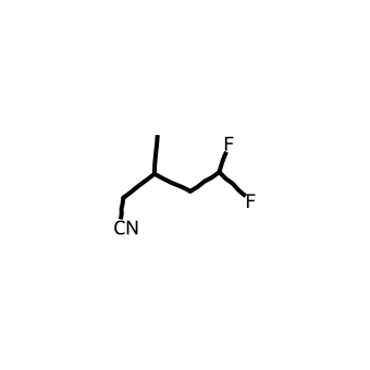 CC(CC#N)CC(F)F